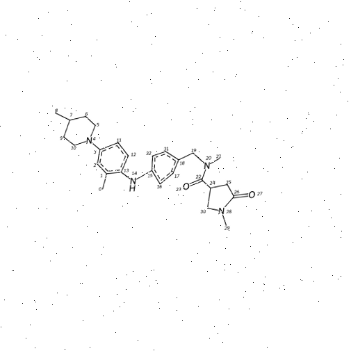 Cc1cc(N2CCC(C)CC2)ccc1Nc1ccc(CN(C)C(=O)C2CC(=O)N(C)C2)cc1